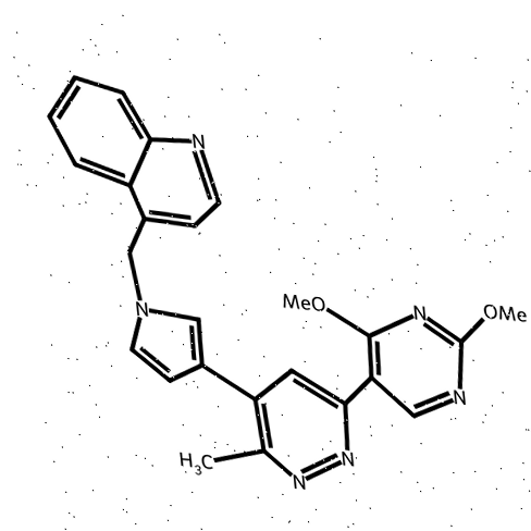 COc1ncc(-c2cc(-c3ccn(Cc4ccnc5ccccc45)c3)c(C)nn2)c(OC)n1